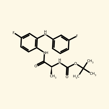 C[C@H](NC(=O)OC(C)(C)C)C(=O)Nc1ccc(F)cc1Nc1cccc(F)c1